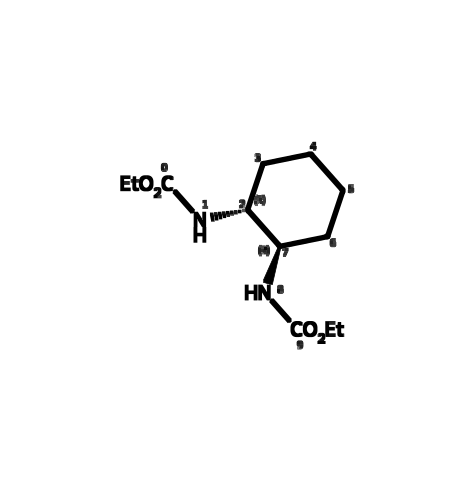 CCOC(=O)N[C@@H]1CCCC[C@H]1NC(=O)OCC